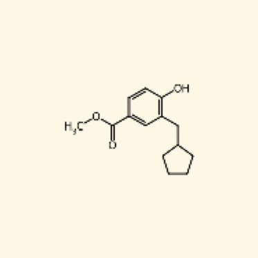 COC(=O)c1ccc(O)c(CC2CCCC2)c1